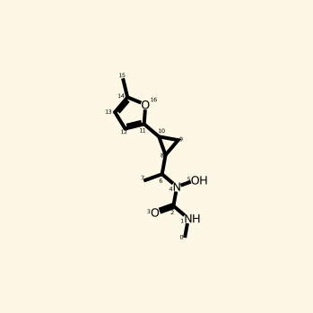 CNC(=O)N(O)C(C)C1CC1c1ccc(C)o1